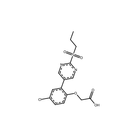 CCCS(=O)(=O)c1ncc(-c2cc(Cl)ccc2OCC(=O)O)cn1